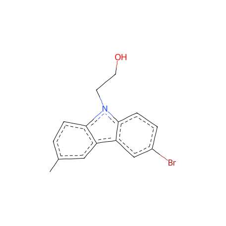 Cc1ccc2c(c1)c1cc(Br)ccc1n2CCO